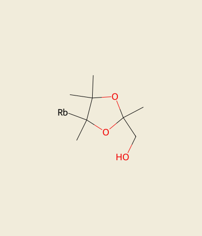 CC1(CO)OC(C)(C)[C](C)([Rb])O1